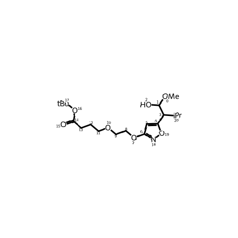 COC(O)C(c1cc(OCCOCCCC(=O)OC(C)(C)C)no1)C(C)C